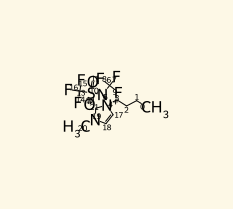 CCCC[N+]1(N(C(F)(F)F)S(=O)(=O)C(F)(F)F)C=CN(C)C1